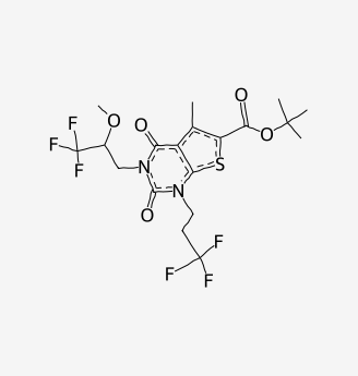 COC(Cn1c(=O)c2c(C)c(C(=O)OC(C)(C)C)sc2n(CCC(F)(F)F)c1=O)C(F)(F)F